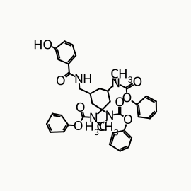 CN(C(=O)Oc1ccccc1)C1CC(CNC(=O)c2cccc(O)c2)CC(N(C)C(=O)Oc2ccccc2)(N(C)C(=O)Oc2ccccc2)C1